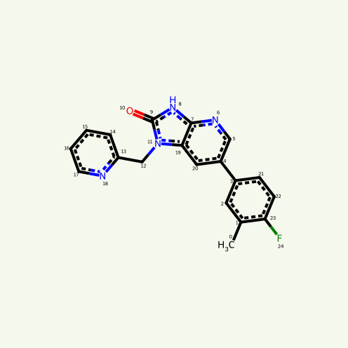 Cc1cc(-c2cnc3[nH]c(=O)n(Cc4ccccn4)c3c2)ccc1F